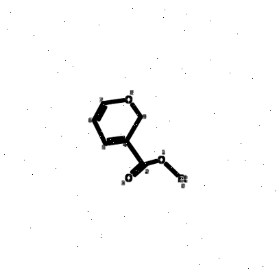 CCOC(=O)C1=CC=COC1